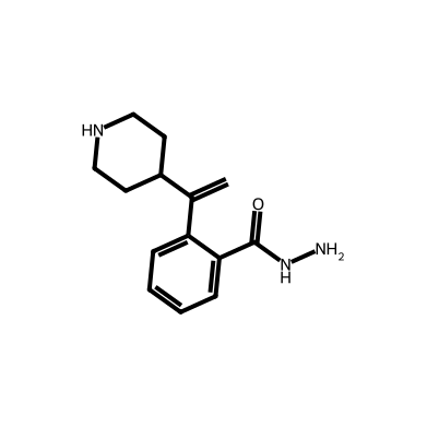 C=C(c1ccccc1C(=O)NN)C1CCNCC1